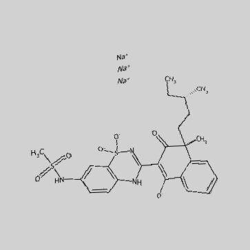 CC[C@H](C)CCC1(C)C(=O)C(C2=NS([O-])([O-])c3cc(NS(C)(=O)=O)ccc3N2)=C([O-])c2ccccc21.[Na+].[Na+].[Na+]